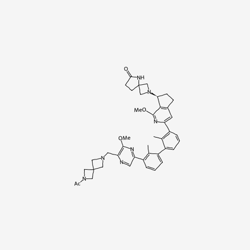 COc1nc(-c2cccc(-c3cccc(-c4cc5c(c(OC)n4)[C@@H](N4CC6(CCC(=O)N6)C4)CC5)c3C)c2C)cnc1CN1CC2(C1)CN(C(C)=O)C2